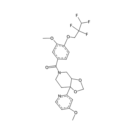 COc1ccnc(C23CCN(C(=O)c4ccc(OCC(F)(F)C(F)F)c(OC)c4)CC2OCO3)c1